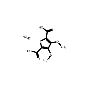 COc1c(C(=O)O)sc(C(=O)O)c1OC.Cl.Cl